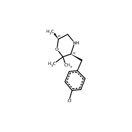 C[C@H]1CN[C@@H](Cc2ccc(Cl)cc2)C(C)(C)O1